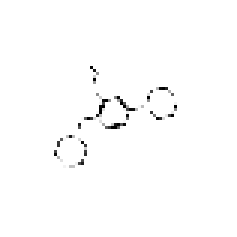 FCOc1cc(N2CCOCC2)ccc1CN1CCNCC1